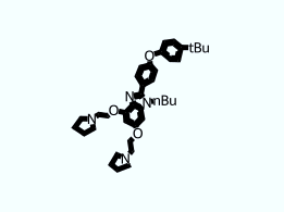 CCCCn1c(-c2ccc(Oc3ccc(C(C)(C)C)cc3)cc2)nc2c(OCCN3CCCC3)cc(OCCN3CCCC3)cc21